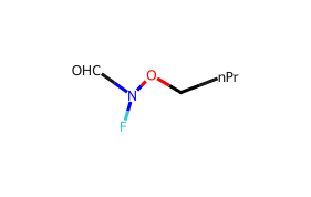 CCCCON(F)C=O